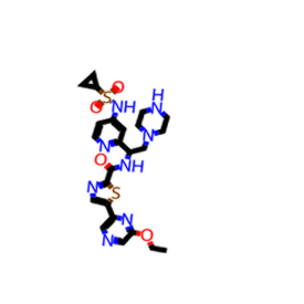 CCOc1cncc(-c2cnc(C(=O)NC(CN3CCNCC3)c3cc(NS(=O)(=O)C4CC4)ccn3)s2)n1